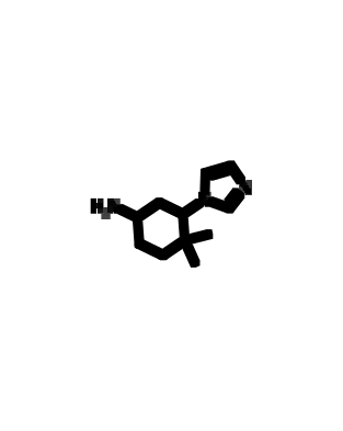 CC1(C)CCC(N)CC1n1ccnc1